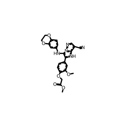 COC(=O)COc1ccc(-c2[nH]c3c(C#N)cnn3c2Nc2ccc3c(c2)OCCO3)cc1OC